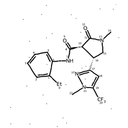 CCc1ccccc1NC(=O)[C@H]1C(=O)N(C)C[C@@H]1c1cc(C(F)(F)F)n(C)n1